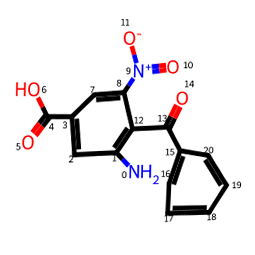 Nc1cc(C(=O)O)cc([N+](=O)[O-])c1C(=O)c1ccccc1